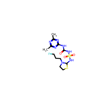 Cc1nc(C)nc(NC(=O)NS(=O)(=O)NC2SCCN2CCCF)n1